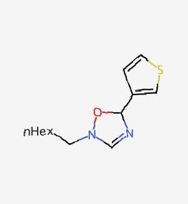 CCCCCCCN1C=NC(c2ccsc2)O1